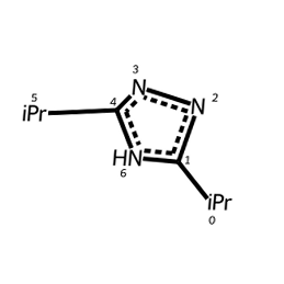 CC(C)c1nnc(C(C)C)[nH]1